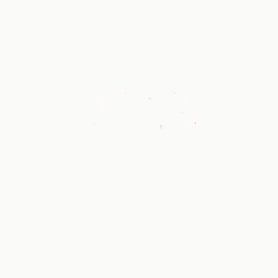 Cc1ccc([C@H](Nc2c(Nc3cccc(C(=O)N4CCCC4)c3O)no[n+]2O)C(C)(C)C)s1